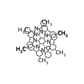 Cc1ccc2c(c1)c1cc(C)ccc1n2-c1c(-c2nc(-c3ccccc3)nc(-c3ccccc3)n2)c(-n2c3ccc(C)cc3c3cc(C)ccc32)c(-n2c3ccc(C)cc3c3cc(C)ccc32)c(-c2nc3ccccc3o2)c1-n1c2ccc(C)cc2c2cc(C)ccc21